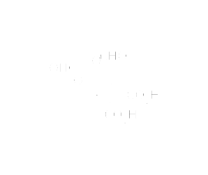 O=COC1C2CC(C1OC=O)C(C(=O)O)C2C(=O)O